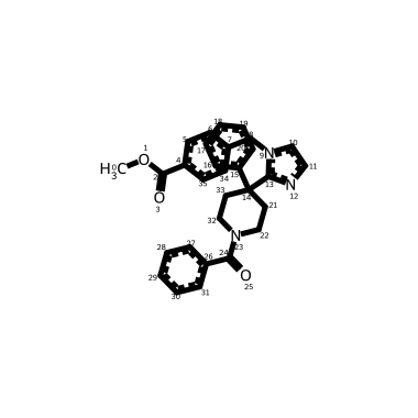 COC(=O)c1ccc(Cn2ccnc2C2(c3ccccc3)CCN(C(=O)c3ccccc3)CC2)cc1